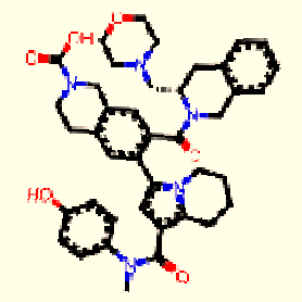 CN(C(=O)c1cc(-c2cc3c(cc2C(=O)N2Cc4ccccc4C[C@H]2CN2CCOCC2)CN(C(=O)O)CC3)n2c1CCCC2)c1ccc(O)cc1